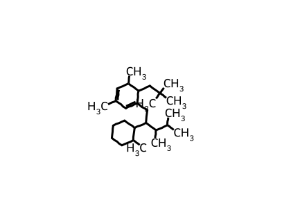 CC1=CC(C)C(CC(C)(C)C)C(CC(C(C)C(C)C)C2CCCCC2C)=C1